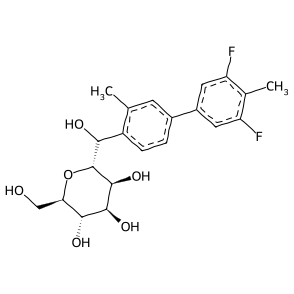 Cc1cc(-c2cc(F)c(C)c(F)c2)ccc1C(O)[C@H]1O[C@H](CO)[C@@H](O)[C@H](O)[C@@H]1O